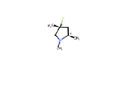 C[C@@H]1C[C@@](C)(F)CN1C